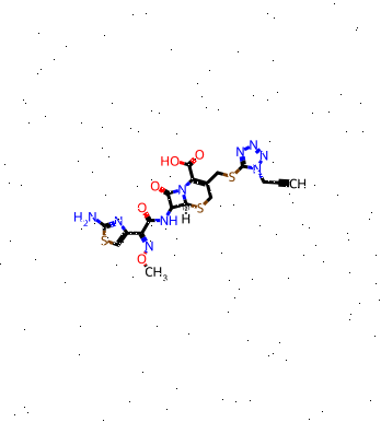 C#CCn1nnnc1SCC1=C(C(=O)O)N2C(=O)C(NC(=O)C(=NOC)c3csc(N)n3)[C@@H]2SC1